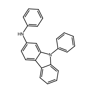 c1ccc(Nc2ccc3c4ccccc4n(-c4ccccc4)c3c2)cc1